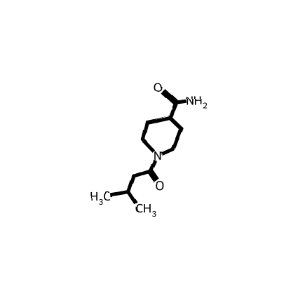 CC(C)CC(=O)N1CCC(C(N)=O)CC1